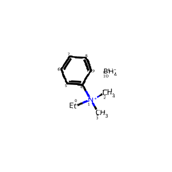 CC[N+](C)(C)c1ccccc1.[BH4-]